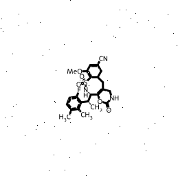 COC1=C2C(CC(C#N)=C1)CC1=C(OC(=O)NC1)[C@H]([C@H](C)c1c(F)ccc(C)c1C)NS2(=O)=O